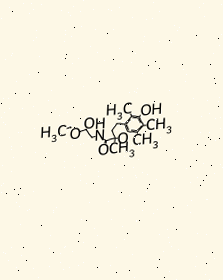 CCOC(=O)CNC(=O)C1(C)CCc2c(C)c(O)c(C)c(C)c2O1